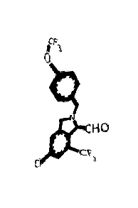 O=CC1c2c(cc(Cl)cc2C(F)(F)F)CN1Cc1ccc(OC(F)(F)F)cc1